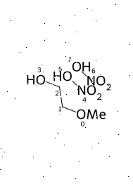 COCCO.O=[N+]([O-])O.O=[N+]([O-])O